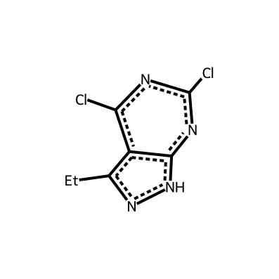 CCc1n[nH]c2nc(Cl)nc(Cl)c12